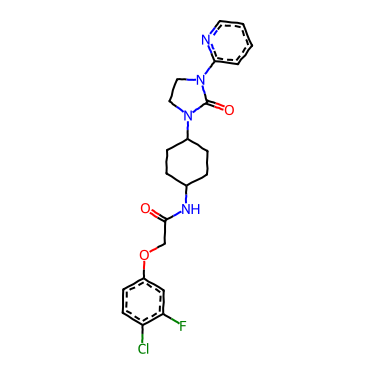 O=C(COc1ccc(Cl)c(F)c1)NC1CCC(N2CCN(c3ccccn3)C2=O)CC1